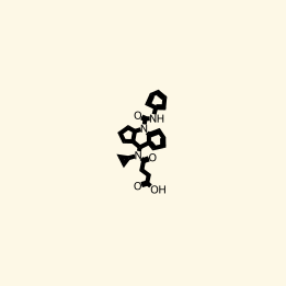 O=C(O)CCC(=O)N(C1CC1)C1c2ccccc2N(C(=O)Nc2ccccc2)C2CCCC21